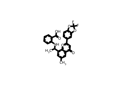 Cc1cc(C(C)Nc2ccccc2C(=O)O)c2oc(-c3ccc4c(c3)OC(F)(F)O4)cc(=O)c2c1